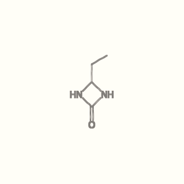 CCC1NC(=O)N1